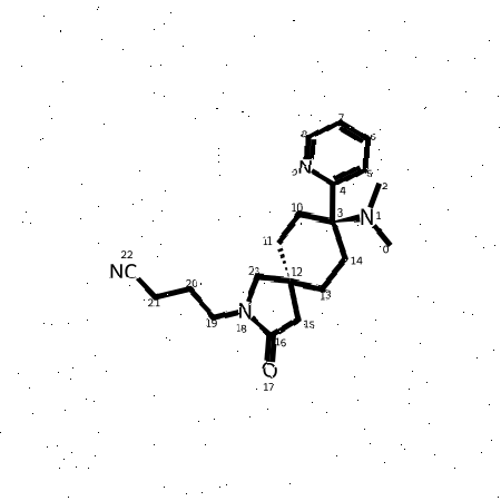 CN(C)[C@]1(c2ccccn2)CC[C@]2(CC1)CC(=O)N(CCCC#N)C2